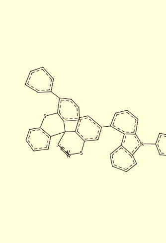 c1ccc(-c2cccc3c2Sc2ccccc2C32c3ccccc3Sc3cc(-c4cccc5c4c4ccccc4n5-c4ccccc4)ccc32)cc1